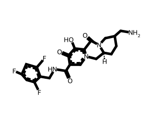 NCC1CC[C@H]2Cn3cc(C(=O)NCc4c(F)cc(F)cc4F)c(=O)c(O)c3C(=O)N2C1